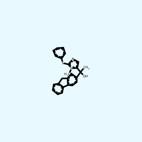 Cn1c(C(C)(O)c2ccc3c(c2)Cc2ccccc2-3)cnc1Sc1ccccc1